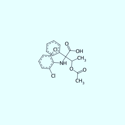 CC(=O)OC(C)C(Nc1c(Cl)cccc1Cl)(C(=O)O)c1ccccc1